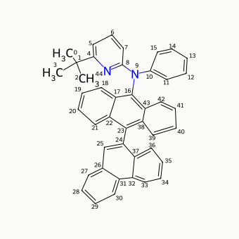 CC(C)(C)c1cccc(N(c2ccccc2)c2c3ccccc3c(-c3cc4ccccc4c4ccccc34)c3ccccc23)n1